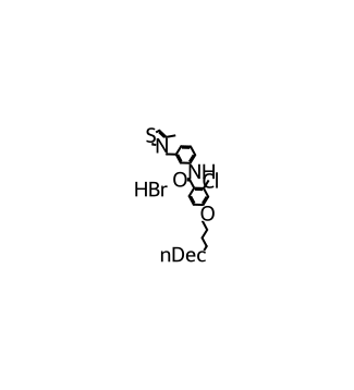 Br.CCCCCCCCCCCCCCOc1ccc(C(=O)Nc2cccc(CN3CSC=C3C)c2)c(Cl)c1